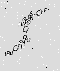 CC(C)(C)c1ccc(SNC(=O)OCc2ccc(NS(=O)(=O)c3csc(-c4ccc(F)cc4)n3)cc2)cc1